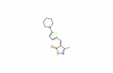 CC1=NOC(=O)/C1=C\c1ccc(N2CCCCC2)s1